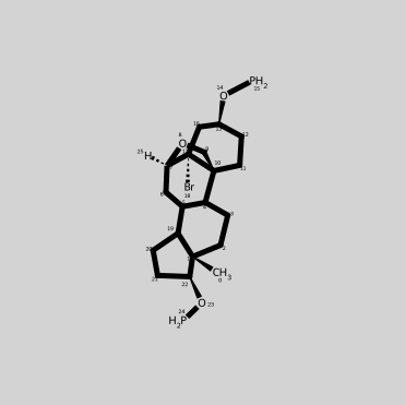 C[C@]12CCC3C(C[C@H]4OC[C@@]35CC[C@H](OP)C[C@]45Br)C1CC[C@@H]2OP